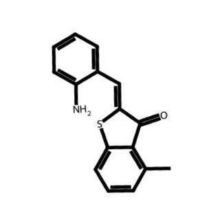 Cc1cccc2c1C(=O)C(=Cc1ccccc1N)S2